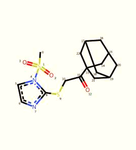 CS(=O)(=O)n1ccnc1SCC(=O)C12CC3CC(CC(C3)C1)C2